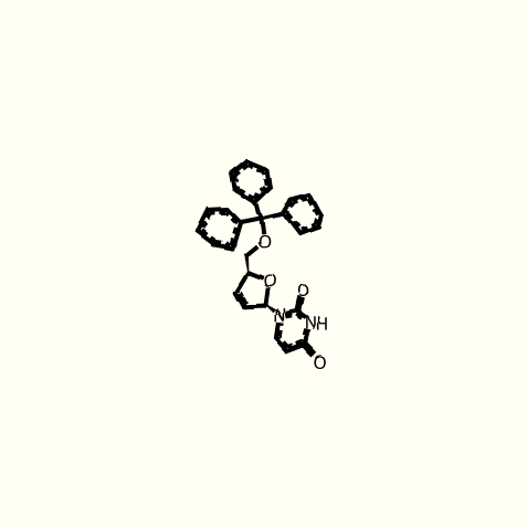 O=c1ccn([C@H]2C=C[C@@H](COC(c3ccccc3)(c3ccccc3)c3ccccc3)O2)c(=O)[nH]1